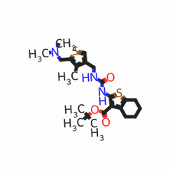 Cc1c(CNC(=O)Nc2sc3c(c2C(=O)OC(C)(C)C)CCCC3)csc1CN(C)C